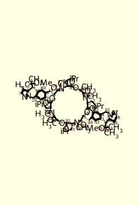 COC(C)(C)Cc1ccnn1Cc1ccc(C[C@H]2OC(=O)[C@H](CC(C)C)N(C)C(=O)[C@@H](C)OC(=O)[C@H](CC(C)C)N(C)C(=O)[C@@H](Cc3ccc(Cn4nccc4CC(C)(C)OC)cc3)OC(=O)[C@H](CC(C)C)N(C)C(=O)[C@@H](C)OC(=O)[C@H](CC(C)C)N(C)C2=O)cc1